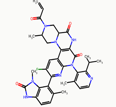 C=CC(=O)N1CC2C(=O)Nc3c(c4cc(F)c(-c5c(C)ccc6[nH]c(=O)n(C)c56)nc4n(-c4c(C)ccnc4C(C)C)c3=O)N2CC1C